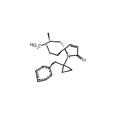 C[C@H]1C[C@@]2(C=CC(=O)N2C2(Cc3ccccc3)CC2)CCN1C(=O)O